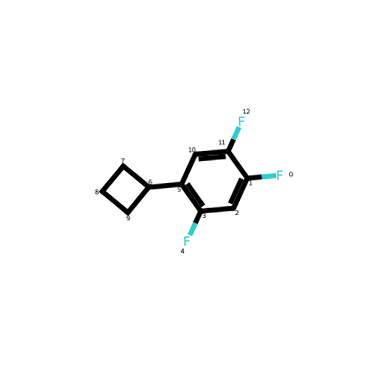 Fc1cc(F)c(C2CCC2)cc1F